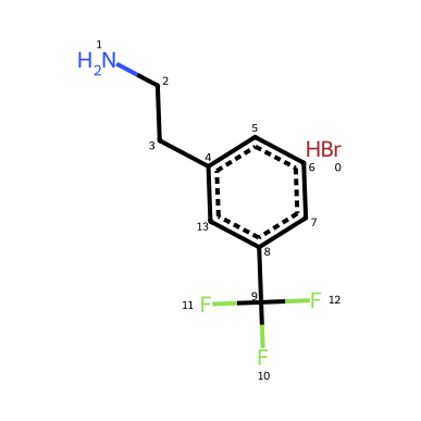 Br.NCCc1cccc(C(F)(F)F)c1